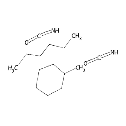 CC1CCCCC1.CCCCCC.N=C=O.N=C=O